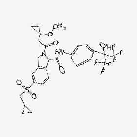 COC1(CC(=O)N2Cc3cc(S(=O)(=O)CC4CC4)ccc3C2C(=O)Nc2ccc(C(O)(C(F)(F)F)C(F)(F)F)cc2)CC1